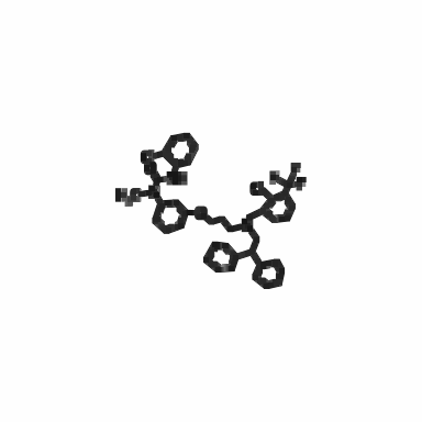 CN(C(=O)Nc1ccccc1Cl)c1cccc(OCCCN(Cc2cccc(C(F)(F)F)c2Cl)CC(c2ccccc2)c2ccccc2)c1